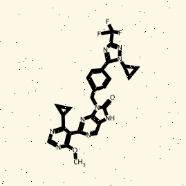 COc1ncnc(C2CC2)c1-c1ncc2[nH]c(=O)n(Cc3ccc(-c4nc(C(F)(F)F)nn4C4CC4)cc3)c2n1